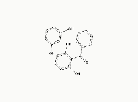 O=C(c1ccccc1)c1c(O)cccc1O.Oc1cccc(O)c1